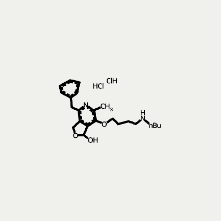 CCCCNCCCCOc1c(C)nc(Cc2ccccc2)c2c1C(O)OC2.Cl.Cl